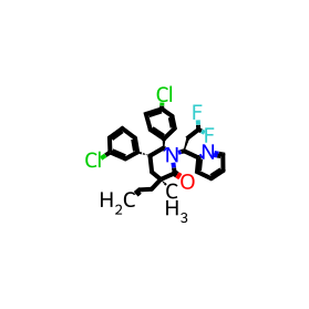 C=CC[C@@]1(C)C[C@H](c2cccc(Cl)c2)[C@@H](c2ccc(Cl)cc2)N([C@@H](CC(F)F)c2ccccn2)C1=O